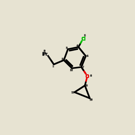 CC(C)Cc1cc(Cl)cc(OC2CC2)c1